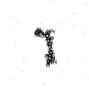 CC(C)Oc1cc2c(cc1NC(=O)c1cnn3cccnc13)CN(C1CCN(CCc3ccc4c(c3)C(=O)N(C3CCC(=O)NC3=O)C4=O)CC1)C2=O